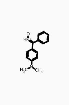 CN(C)c1ccc(C(=[NH+][O-])c2ccccc2)cc1